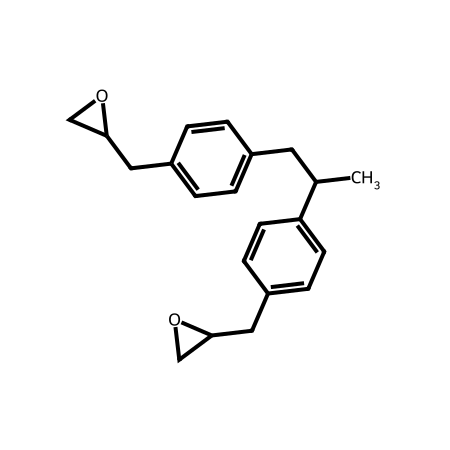 CC(Cc1ccc(CC2CO2)cc1)c1ccc(CC2CO2)cc1